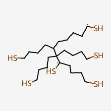 S[CH]CCCCC(CCCCS)C(CCCCS)(CCCCS)[C](S)CCCCS